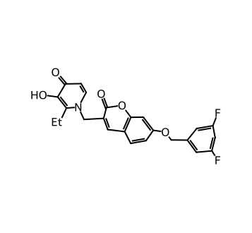 CCc1c(O)c(=O)ccn1Cc1cc2ccc(OCc3cc(F)cc(F)c3)cc2oc1=O